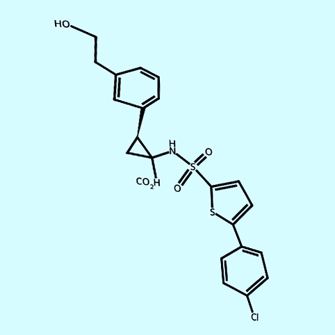 O=C(O)C1(NS(=O)(=O)c2ccc(-c3ccc(Cl)cc3)s2)C[C@H]1c1cccc(CCO)c1